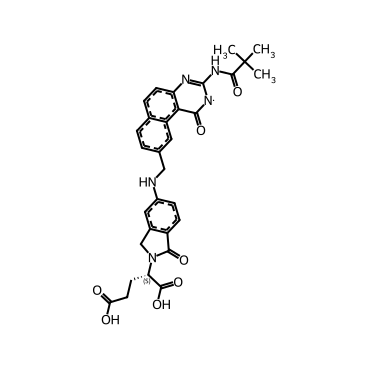 CC(C)(C)C(=O)NC1=Nc2ccc3ccc(CNc4ccc5c(c4)CN([C@@H](CCC(=O)O)C(=O)O)C5=O)cc3c2C(=O)[N]1